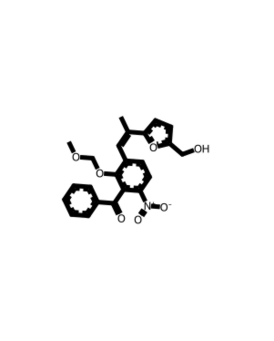 COCOc1c(C=C(C)c2ccc(CO)o2)ccc([N+](=O)[O-])c1C(=O)c1ccccc1